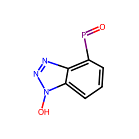 O=Pc1cccc2c1nnn2O